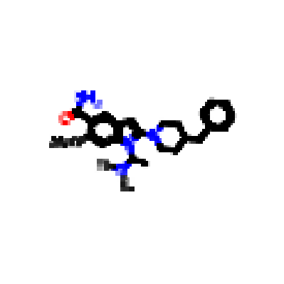 CCN(CC)C(C)n1c(N2CCC(Cc3ccccc3)CC2)cc2cc(C(N)=O)c(OC)cc21